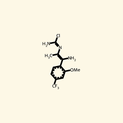 COc1cc(C(F)(F)F)ccc1/C(N)=C(C)/N=C(\N)Cl